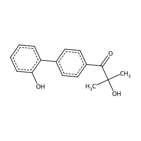 CC(C)(O)C(=O)c1ccc(-c2ccccc2O)cc1